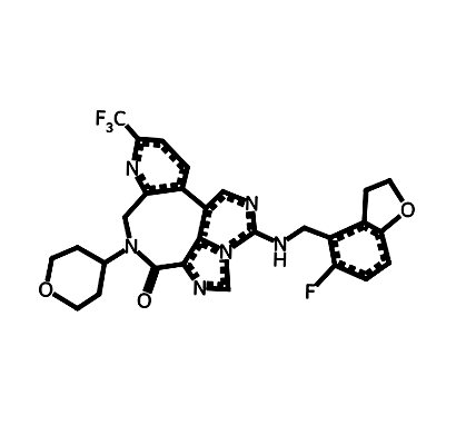 O=C1c2ncn3c(NCc4c(F)ccc5c4CCO5)ncc(c23)-c2ccc(C(F)(F)F)nc2CN1C1CCOCC1